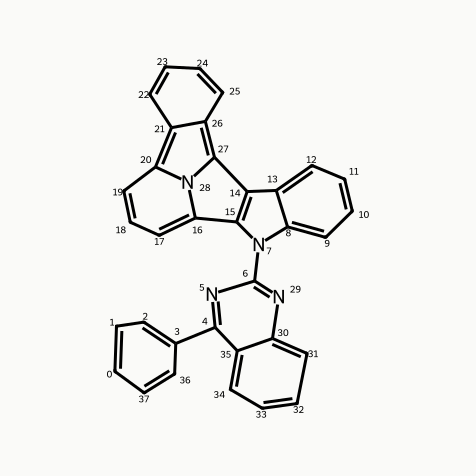 c1ccc(-c2nc(-n3c4ccccc4c4c3c3cccc5c6ccccc6c4n53)nc3ccccc23)cc1